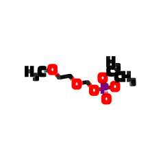 COCCOCOP(=O)(OC)OC